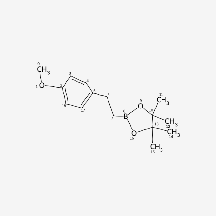 COc1ccc(CCB2OC(C)(C)C(C)(C)O2)cc1